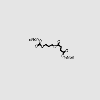 CCCCCCCCCOC(=O)CCC(=O)OCCCOC(=O)OCCCCCCCCC